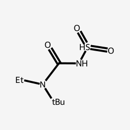 CCN(C(=O)N[SH](=O)=O)C(C)(C)C